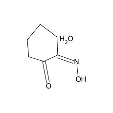 O.O=C1CCCCC1=NO